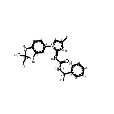 Cc1cn(-c2ccc3c(c2)OC(F)(F)O3)c(=NC(=O)N[C@H](C)c2ccccc2)s1